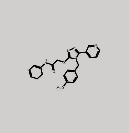 COc1ccc(Cn2c(SCC(=O)NC3=CC=CCC3)nnc2-c2cccnc2)cc1